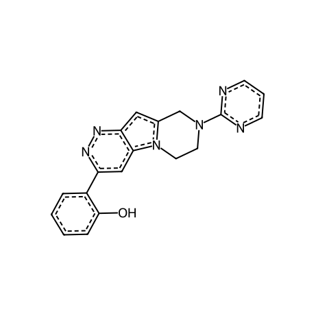 Oc1ccccc1-c1cc2c(cc3n2CCN(c2ncccn2)C3)nn1